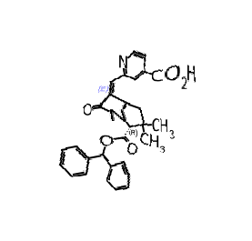 CC1(C)CC2/C(=C\c3cc(C(=O)O)ccn3)C(=O)N2[C@H]1C(=O)OC(c1ccccc1)c1ccccc1